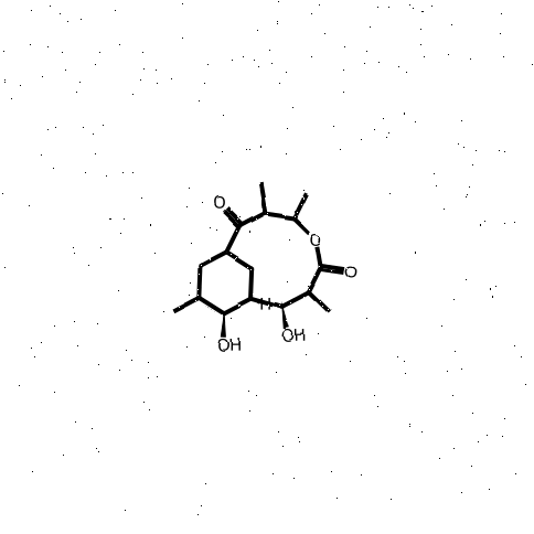 CC1OC(=O)C(C)[C@@H](O)[C@@H]2CC(CC(C)[C@@H]2O)C(=O)C1C